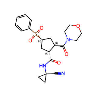 N#CC1(NC(=O)[C@@H]2C[C@@H](S(=O)(=O)c3ccccc3)C[C@H]2C(=O)N2CCOCC2)CC1